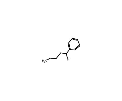 [CH2]CCCC(Br)c1ccccc1